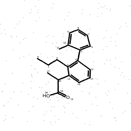 CCCc1c(-c2ccccc2C)cccc1C(C)C(=O)O